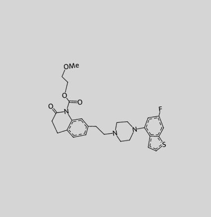 COCCOC(=O)N1C(=O)CCc2ccc(CCN3CCN(c4cc(F)cc5sccc45)CC3)cc21